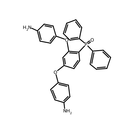 Nc1ccc(Oc2ccc(P(=O)(c3ccccc3)c3ccccc3)c(Oc3ccc(N)cc3)c2)cc1